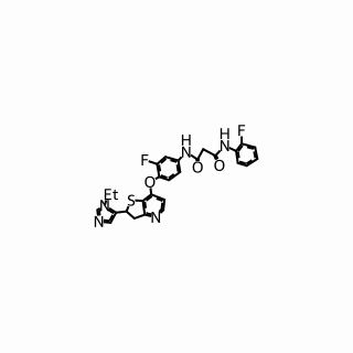 CCn1cncc1C1Cc2nccc(Oc3ccc(NC(=O)CC(=O)Nc4ccccc4F)cc3F)c2S1